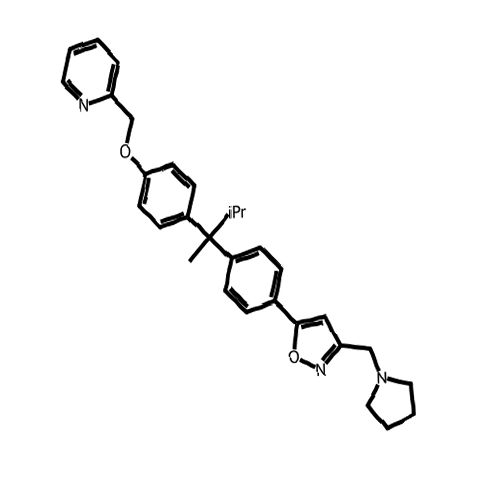 CC(C)C(C)(c1ccc(OCc2ccccn2)cc1)c1ccc(-c2cc(CN3CCCC3)no2)cc1